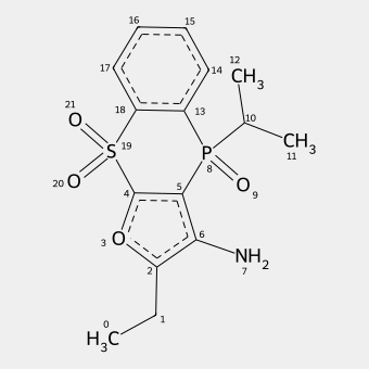 CCc1oc2c(c1N)P(=O)(C(C)C)c1ccccc1S2(=O)=O